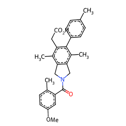 COc1ccc(C)c(C(=O)N2Cc3c(C)c(CC(=O)O)c(-c4ccc(C)cc4)c(C)c3C2)c1